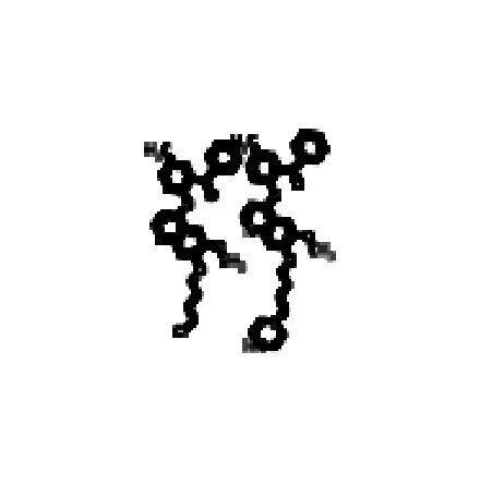 COc1cc2c(Oc3ccc(C)cc3C(=O)c3ccccc3)ccnc2cc1OCCCCCl.COc1cc2c(Oc3ccc(C)cc3C(=O)c3ccccc3)ccnc2cc1OCCCCN1CCNCC1